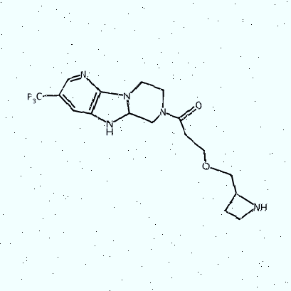 O=C(CCOCC1CCN1)N1CCN2c3ncc(C(F)(F)F)cc3NC2C1